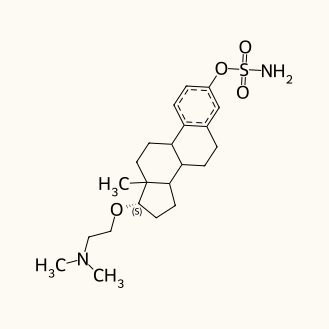 CN(C)CCO[C@H]1CCC2C3CCc4cc(OS(N)(=O)=O)ccc4C3CCC21C